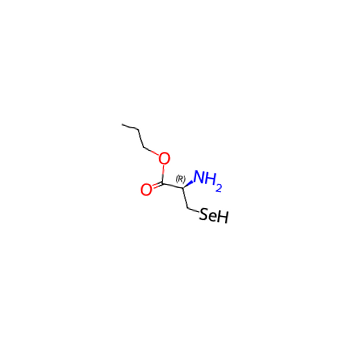 CCCOC(=O)[C@@H](N)C[SeH]